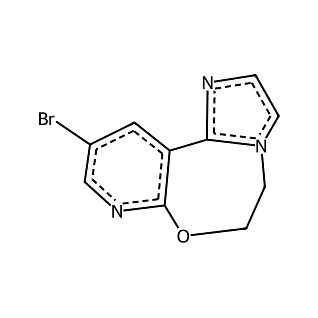 Brc1cnc2c(c1)-c1nccn1CCO2